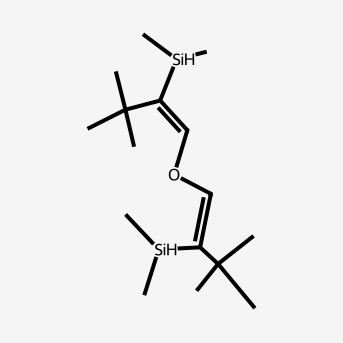 C[SiH](C)C(=COC=C([SiH](C)C)C(C)(C)C)C(C)(C)C